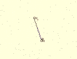 CCCCCCCCCC/C=C/C=C/C=C/C=C/C=C/C=C/C(=O)O